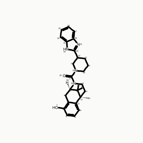 CC1(C)[C@H]2Cc3c(O)cccc3[C@]1(C)CCN2C(=O)N1CCCC(c2nc3ccccc3[nH]2)C1